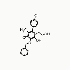 Cc1c(-c2ccc(Cl)cc2)n(CCO)c(O)c(OCc2ccccc2)c1=O